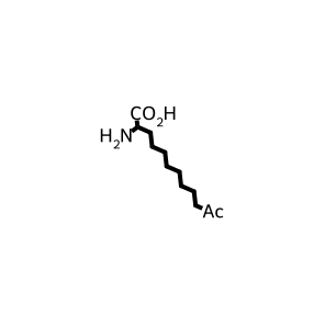 CC(=O)CCCCCCCCC(N)C(=O)O